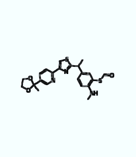 CNc1ccc(C(C)c2nc(-c3ccc(C4(C)OCCO4)cn3)cs2)cc1SC=O